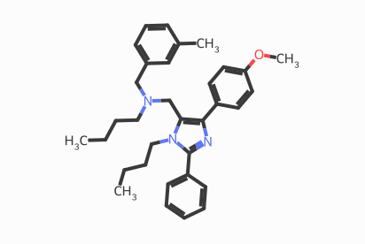 CCCCN(Cc1cccc(C)c1)Cc1c(-c2ccc(OC)cc2)nc(-c2ccccc2)n1CCCC